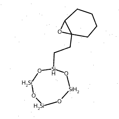 C1CCC2(CC[SiH]3O[SiH2]O[SiH2]O[SiH2]O3)OC2C1